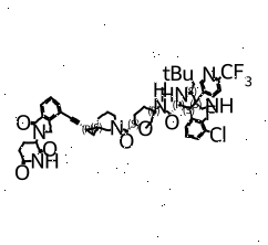 CC(C)(C)C[C@@H]1N[C@@H](C(=O)N[C@@H]2CC[C@@H](C(=O)N3CCC[C@@]4(C[C@@H]4C#Cc4cccc5c4CN(C4CCC(=O)NC4=O)C5=O)C3)OC2)[C@H](c2cccc(Cl)c2F)[C@]12CNc1cc(C(F)(F)F)ncc12